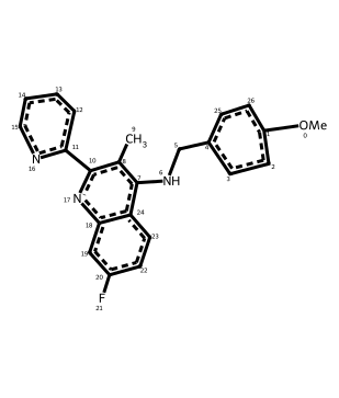 COc1ccc(CNc2c(C)c(-c3ccccn3)nc3cc(F)ccc23)cc1